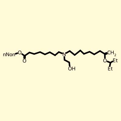 C=C(CCCCCCCN(CCO)CCCCCCCC(=O)OCCCCCCCCC)OC(CC)CC